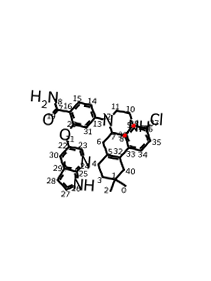 CC1(C)CCC(CC2CNCCN2c2ccc(C(N)=O)c(Oc3cnc4[nH]ccc4c3)c2)=C(c2ccc(Cl)cc2)C1